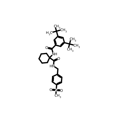 CC(C)(C)c1cc(C(=O)NC2(C(=O)NCc3ccc(S(C)(=O)=O)cc3)CCCCC2)cc(C(C)(C)C)c1